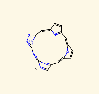 C1=Cc2cc3nnc(nc4nc(cc5ccc(cc1n2)[nH]5)C=N4)[nH]3.[Co]